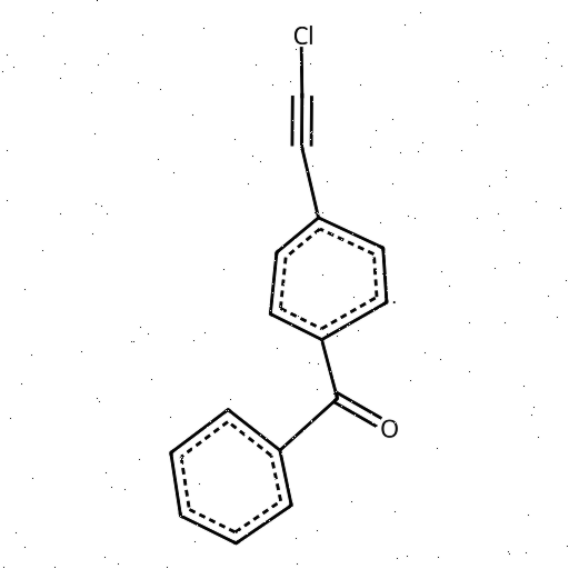 O=C(c1[c]cc(C#CCl)cc1)c1ccccc1